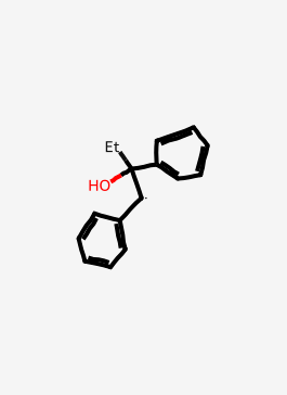 CCC(O)([CH]c1ccccc1)c1ccccc1